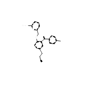 C#CCCc1ccc(NCc2cccc(OC)n2)c(C(=O)c2ccc(C(C)C)cc2)c1